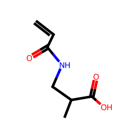 C=CC(=O)NCC(C)C(=O)O